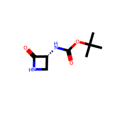 CC(C)(C)OC(=O)N[C@@H]1CNC1=O